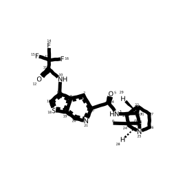 C[C@H]1[C@H](NC(=O)c2cc3c(NC(=O)C(F)(F)F)csc3cn2)C2CCN1CC2